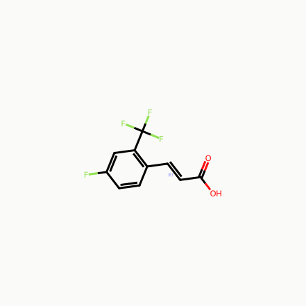 O=C(O)/C=C/c1ccc(F)cc1C(F)(F)F